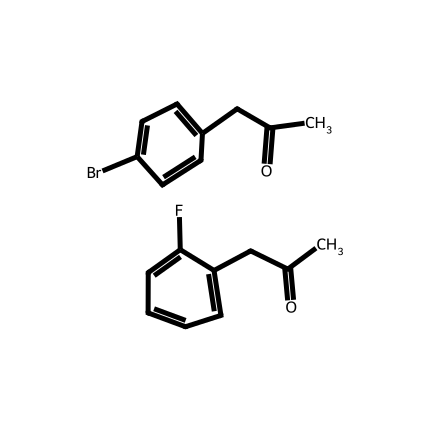 CC(=O)Cc1ccc(Br)cc1.CC(=O)Cc1ccccc1F